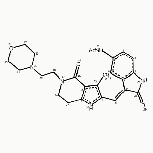 CC(=O)Nc1ccc2c(c1)/C(=C\c1[nH]c3c(c1C)C(=O)N(CCN1CCOCC1)CC3)C(=O)N2